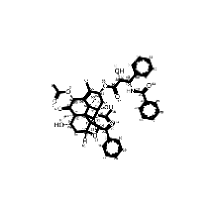 CC(=O)O[C@H]1C(=O)[C@]2(C)[C@@H](O)C[C@H]3OC[C@@]3(OC(C)=O)C23[C@H](OC(=O)c2ccccc2)[C@]2(O)C[C@H](OC(=O)[C@H](O)[C@@H](NC(=O)c4ccccc4)c4ccccc4)C(C)=C1[C@]32C